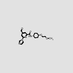 COCCO[C@H]1CC[C@H](NC(=O)c2cc(C=O)cc(-n3ccnc3)n2)CC1